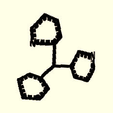 c1ccc(C(c2cccnc2)c2ccccn2)cc1